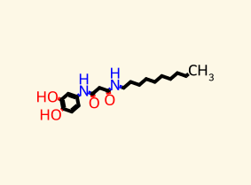 CCCCCCCCCCNC(=O)CC(=O)Nc1ccc(O)c(O)c1